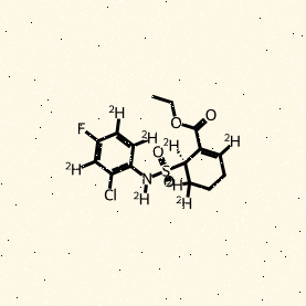 [2H]C1=C(C(=O)OCC)[C@]([2H])(S(=O)(=O)N([2H])c2c([2H])c([2H])c(F)c([2H])c2Cl)C([2H])([2H])CC1